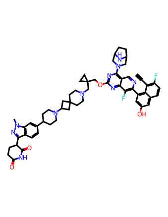 C#Cc1c(F)ccc2cc(O)cc(-c3ncc4c(N5CC6CCC(C5)N6)nc(OCC5(CN6CCC7(CC6)CC(N6CCC(c8ccc9c(C%10CCC(=O)NC%10=O)nn(C)c9c8)CC6)C7)CC5)nc4c3F)c12